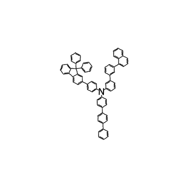 c1ccc(-c2ccc(-c3ccc(N(c4ccc(-c5ccc6c(c5)C(c5ccccc5)(c5ccccc5)c5ccccc5-6)cc4)c4cccc(-c5cccc(-c6cccc7ccccc67)c5)c4)cc3)cc2)cc1